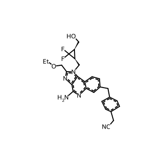 CCOCc1nc2c(N)nc3cc(Cc4ccc(CC#N)cc4)ccc3c2n1C[C@@H]1[C@H](CO)C1(F)F